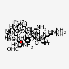 CC(C)C[C@H](NC(=O)[C@H](Cc1ccccc1)NC(=O)[C@H](CC(N)=O)NC(=O)[C@H](C)NC(=O)[C@H](CC(C)C)NC(=O)[C@@H](N)CCCNC(=N)N)C(=O)N[C@H](C(=O)N[C@@H](Cc1c[nH]cn1)C(=O)N[C@@H](CO)C(=O)N[C@@H](CO)C(=O)N[C@H]([C]=O)CC(N)=O)C(C)C